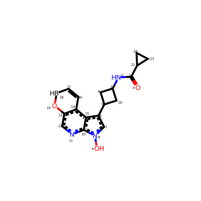 O=C(NC1CC(c2cn(O)c3ncc4c(c23)C=CBO4)C1)C1CC1